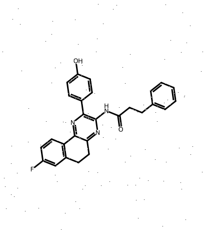 O=C(CCc1ccccc1)Nc1nc2c(nc1-c1ccc(O)cc1)-c1ccc(F)cc1CC2